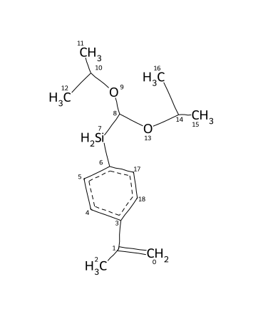 C=C(C)c1ccc([SiH2]C(OC(C)C)OC(C)C)cc1